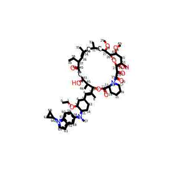 CCOC1CC(C=C(C)C2OC(=O)C3CCCCN3C(=O)C(=O)C3(O)OC(C(OC)CC(C)C/C(C)=C/C(CC)C(=O)CC(O)C2C)C(OC)CC3C)CCC1N(C)c1ccc2c(ccn2C2CC2)c1